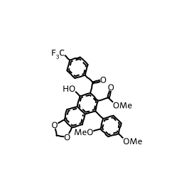 COC(=O)c1c(C(=O)c2ccc(C(F)(F)F)cc2)c(O)c2cc3c(cc2c1-c1ccc(OC)cc1OC)OCO3